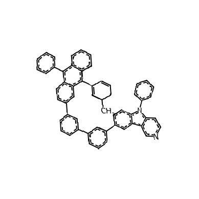 CC1C=C(c2c3ccccc3c(-c3ccccc3)c3ccc(-c4cccc(-c5cccc(-c6ccc7c(c6)c6cnccc6n7-c6ccccc6)c5)c4)cc23)C=CC1